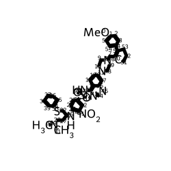 COc1ccc(C2=C(CN3CCN(c4ccc5c(NS(=O)(=O)c6ccc(NC(CCN(C)C)CSc7ccccc7)c([N+](=O)[O-])c6)ncnc5c4)CC3)CCCC2)cc1